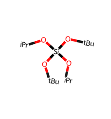 CC(C)O[Si](OC(C)C)(OC(C)(C)C)OC(C)(C)C